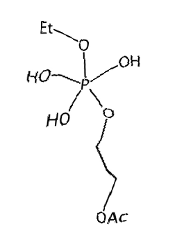 CCOP(O)(O)(O)OCCOC(C)=O